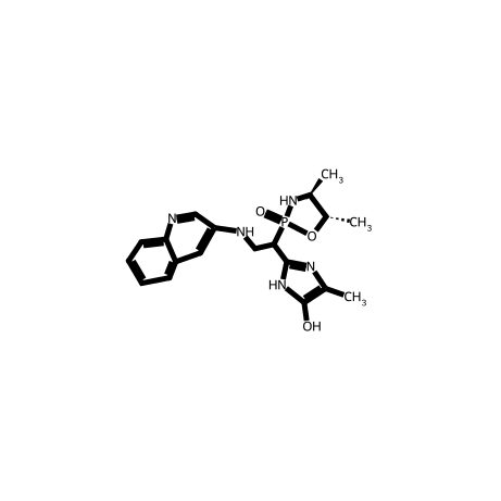 Cc1nc(C(CNc2cnc3ccccc3c2)P2(=O)N[C@@H](C)[C@H](C)O2)[nH]c1O